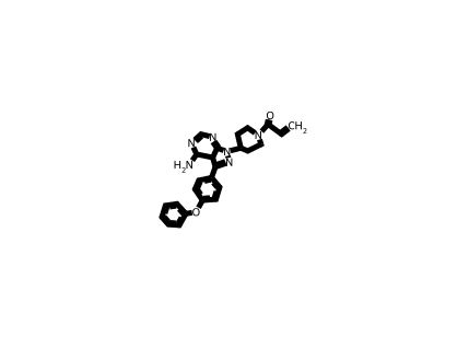 C=CC(=O)N1CCC(N2N=C(c3ccc(Oc4ccccc4)cc3)C3C2=NC=NC3N)CC1